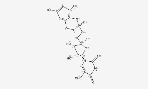 Cc1cc(C)c2c(c1)COP(=O)(OC[C@@]1(F)O[C@@H](n3cc(C=O)c(=O)[nH]c3=S)[C@H](O)[C@@H]1O)O2